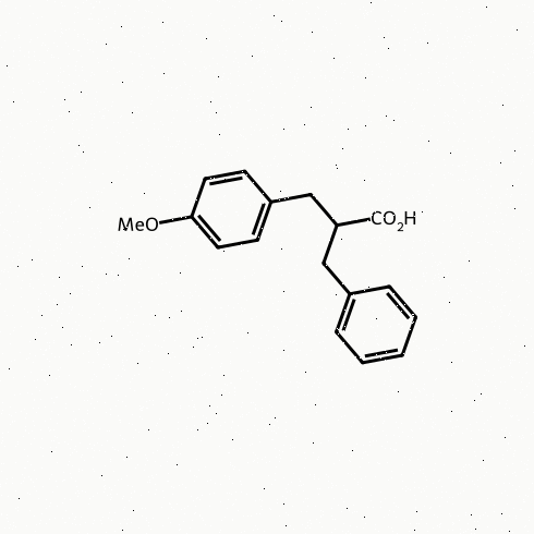 COc1ccc(CC(Cc2ccccc2)C(=O)O)cc1